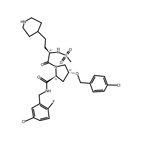 CS(=O)(=O)N[C@H](CCC1CCNCC1)C(=O)N1C[C@H](OCc2ccc(Cl)cc2)C[C@H]1C(=O)NCc1cc(Cl)ccc1F